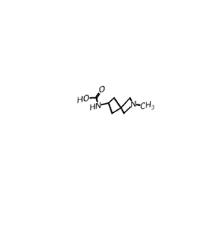 CN1CC2(CC(NC(=O)O)C2)C1